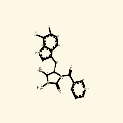 CN1C(=O)N(C(=O)c2cccnc2)[C@H](Cc2c[nH]c3c(Cl)c(F)ccc23)C1O